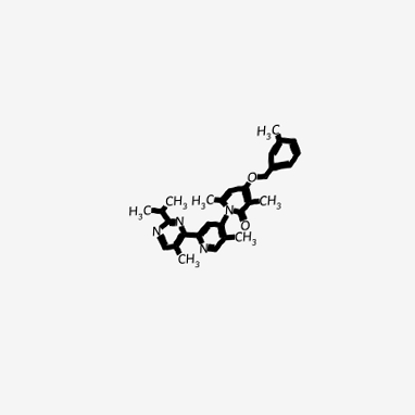 Cc1cccc(COc2cc(C)n(-c3cc(-c4nc(C(C)C)ncc4C)ncc3C)c(=O)c2C)c1